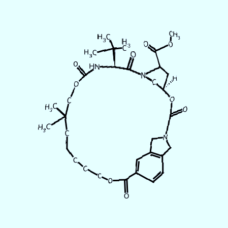 COC(=O)C1C[C@@H]2CN1C(=O)[C@H](C(C)(C)C)NC(=O)OCC(C)(C)CCCCCOC(=O)c1ccc3c(c1)CN(C3)C(=O)O2